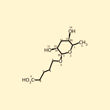 CC1O[C@@H](OCCCCC(=O)O)[C@@H](O)C[C@H]1O